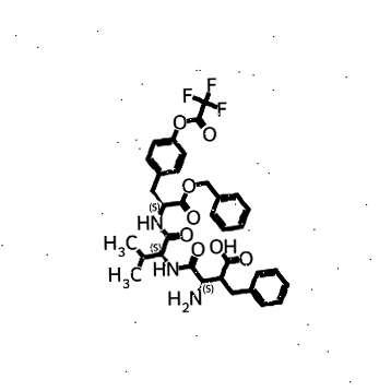 CC(C)[C@H](NC(=O)[C@@H](N)C(Cc1ccccc1)C(=O)O)C(=O)N[C@@H](Cc1ccc(OC(=O)C(F)(F)F)cc1)C(=O)OCc1ccccc1